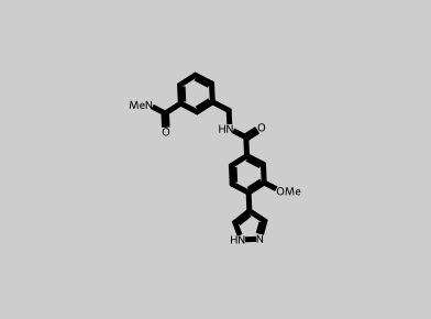 CNC(=O)c1cccc(CNC(=O)c2ccc(-c3cn[nH]c3)c(OC)c2)c1